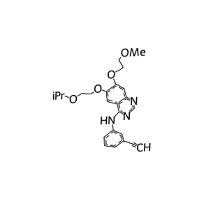 C#Cc1cccc(Nc2ncnc3cc(OCCOC)c(OCCOC(C)C)cc23)c1